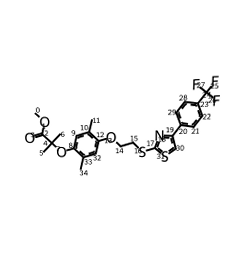 COC(=O)C(C)(C)Oc1cc(C)c(OCCSc2nc(-c3ccc(C(F)(F)F)cc3)cs2)cc1C